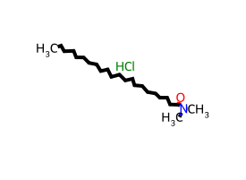 CCCCCCCCCCCCCCCCCCCCCC(=O)N(C)C.Cl